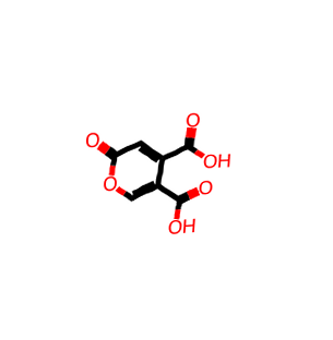 O=C(O)c1coc(=O)cc1C(=O)O